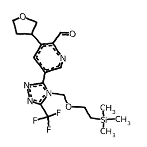 C[Si](C)(C)CCOCn1c(-c2cnc(C=O)c(C3CCOC3)c2)nnc1C(F)(F)F